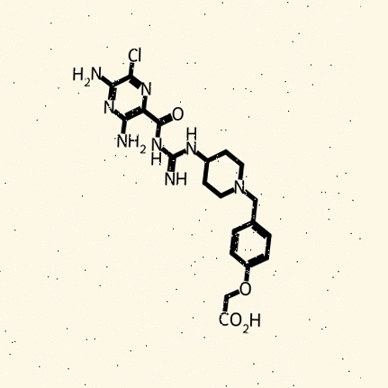 N=C(NC(=O)c1nc(Cl)c(N)nc1N)NC1CCN(Cc2ccc(OCC(=O)O)cc2)CC1